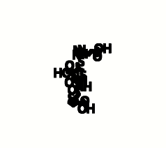 O=C(O)CCn1nnnc1SCC1=C(C(=O)O)N2C(=O)C(NC(=O)Cc3sccc3C(=O)O)[C@H]2SC1